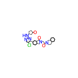 O=C1CCC(Nc2ncc(Cl)c(-c3ccc4c(c3)C(=O)N(CC(=O)N3CCc5ccccc5C3)C4)n2)C1